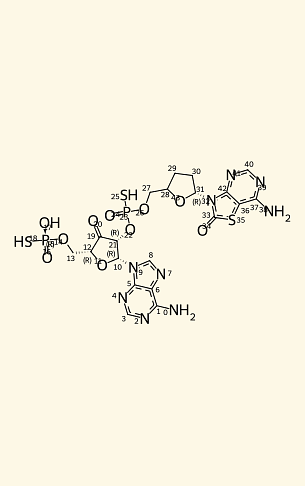 Nc1ncnc2c1ncn2[C@@H]1O[C@H](CO[P@@](=O)(O)S)C(=O)[C@@H]1OP(=O)(S)OCC1CC[C@H](n2c(=O)sc3c(N)ncnc32)O1